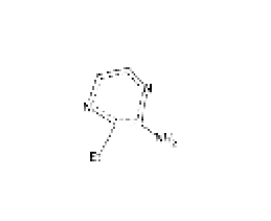 CCc1nccnc1N